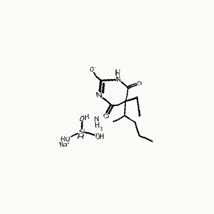 CCCC(C)C1(CC)C(=O)N=C([O-])NC1=O.N.O[SiH](O)O.[Na+]